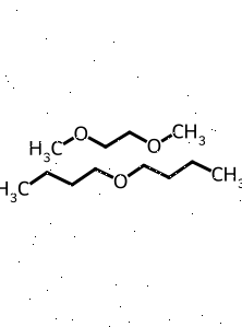 CCCCOCCCC.COCCOC